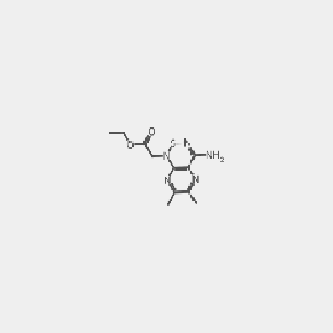 CCOC(=O)CN1SN=C(N)c2nc(C)c(C)nc21